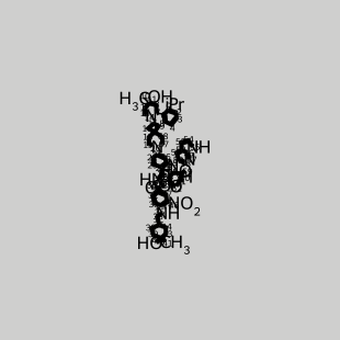 CC(C)c1ccccc1[C@@H]1C[C@@](C)(O)CCN1C1CC2(CCN(c3ccc(C(=O)NS(=O)(=O)c4ccc(NCC5CCC(C)(O)CC5)c([N+](=O)[O-])c4)c(N4c5cc6cc[nH]c6nc5O[C@H]5COCC[C@@H]54)c3)CC2)C1